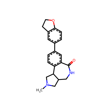 CN1CC2CNC(=O)c3cc(-c4ccc5c(c4)CCO5)ccc3C2C1